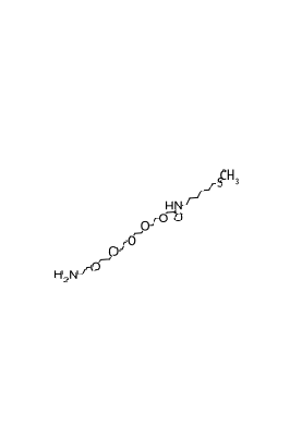 CSCCCCCCNC(=O)COCCOCCOCCOCCOCCN